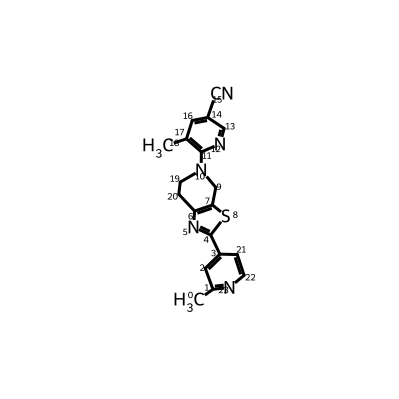 Cc1cc(-c2nc3c(s2)CN(c2ncc(C#N)cc2C)CC3)ccn1